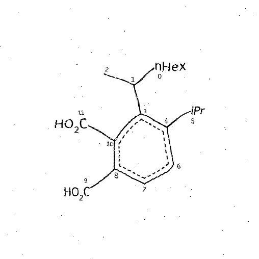 CCCCCCC(C)c1c(C(C)C)ccc(C(=O)O)c1C(=O)O